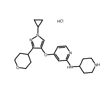 Cl.c1cc(Oc2cn(C3CC3)nc2C2CCOCC2)cc(NC2CCNCC2)n1